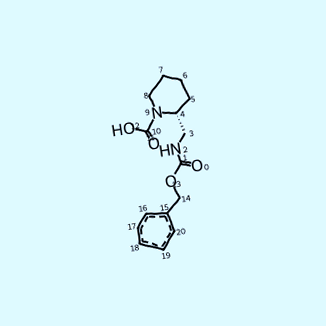 O=C(NC[C@H]1CCCCN1C(=O)O)OCc1ccccc1